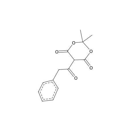 CC1(C)OC(=O)C(C(=O)Cc2ccccc2)C(=O)O1